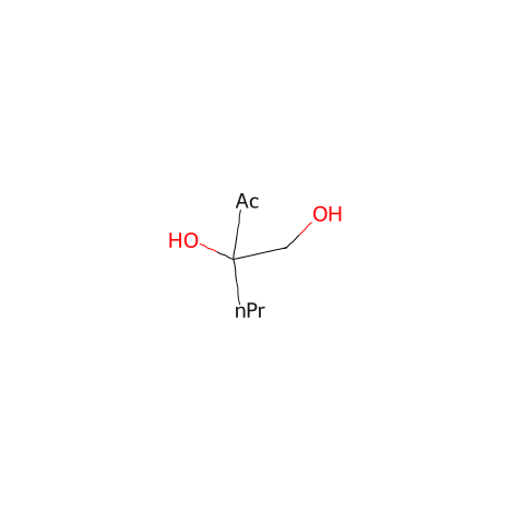 CCCC(O)(CO)C(C)=O